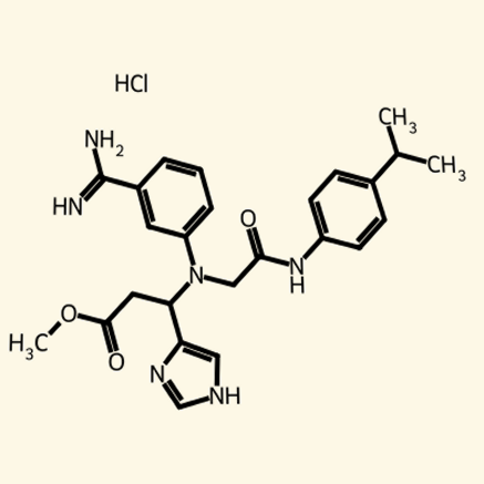 COC(=O)CC(c1c[nH]cn1)N(CC(=O)Nc1ccc(C(C)C)cc1)c1cccc(C(=N)N)c1.Cl